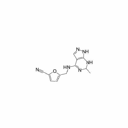 CC1N=C(NCc2ccc(C#N)o2)c2cn[nH]c2N1